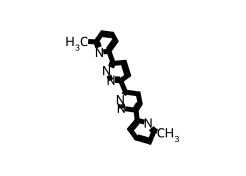 Cc1cccc(C2=CCC(c3ccc(-c4cccc(C)n4)nn3)N=N2)n1